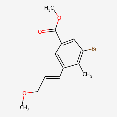 COC/C=C/c1cc(C(=O)OC)cc(Br)c1C